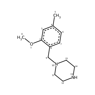 COc1cc(C)ccc1CN1CCNCC1